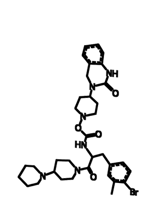 Cc1cc(CC(NC(=O)ON2CCC(N3Cc4ccccc4NC3=O)CC2)C(=O)N2CCC(N3CCCCC3)CC2)ccc1Br